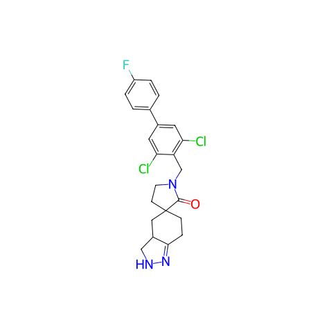 O=C1N(Cc2c(Cl)cc(-c3ccc(F)cc3)cc2Cl)CCC12CCC1=NNCC1C2